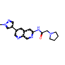 Cn1cc(-c2cnc3cnc(NC(=O)CN4CCCC4)cc3c2)cn1